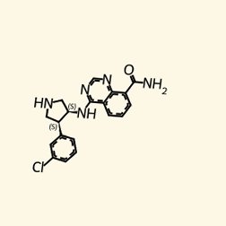 NC(=O)c1cccc2c(N[C@@H]3CNC[C@@H]3c3cccc(Cl)c3)ncnc12